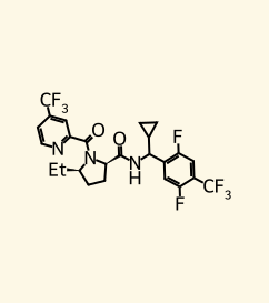 CC[C@@H]1CC[C@H](C(=O)NC(c2cc(F)c(C(F)(F)F)cc2F)C2CC2)N1C(=O)c1cc(C(F)(F)F)ccn1